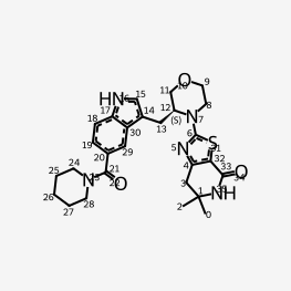 CC1(C)Cc2nc(N3CCOC[C@@H]3Cc3c[nH]c4ccc(C(=O)N5CCCCC5)cc34)sc2C(=O)N1